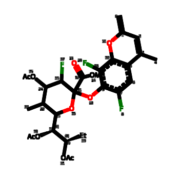 C=C1C=C(C)c2cc(F)c(OC3(C(=O)OC)OC([C@H](OC(C)=O)[C@@H](CC)OC(C)=O)C(C)C(OC(C)=O)C3F)c(F)c2O1